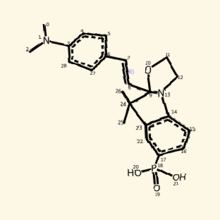 CN(C)c1ccc(/C=C/C23OCCN2c2ccc(P(=O)(O)O)cc2C3(C)C)cc1